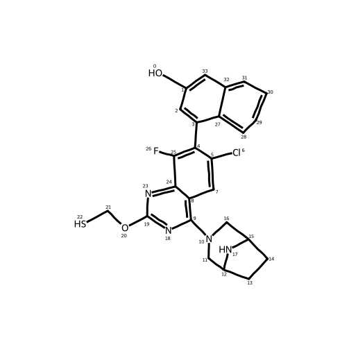 Oc1cc(-c2c(Cl)cc3c(N4CC5CCC(C4)N5)nc(OCS)nc3c2F)c2ccccc2c1